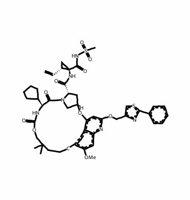 C=C[C@@H]1C[C@]1(NC(=O)[C@@H]1C[C@@H]2CN1C(=O)[C@H](C1CCCC1)NC(=O)OCC(C)(C)CCCc1cc3c(cc(OCc4csc(-c5ccccc5)n4)nc3cc1OC)O2)C(=O)NS(C)(=O)=O